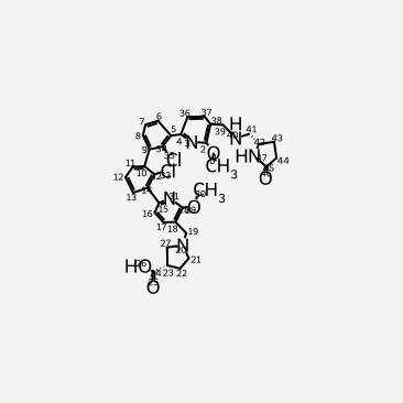 COc1nc(-c2cccc(-c3cccc(-c4ccc(CN5CC[C@H](C(=O)O)C5)c(OC)n4)c3Cl)c2Cl)ccc1CNC[C@@H]1CCC(=O)N1